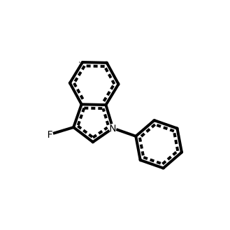 Fc1cn(-c2ccccc2)c2cc[c]cc12